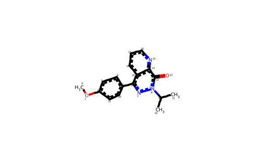 COc1ccc(-c2nn(C(C)C)c(=O)c3ncccc23)cc1